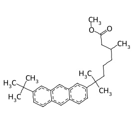 COC(=O)CC(C)CCCC(C)(C)c1ccc2cc3ccc(C(C)(C)C)cc3cc2c1